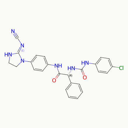 N#C/N=C1\NCCN1c1ccc(NC(=O)[C@H](NC(=O)Nc2ccc(Cl)cc2)c2ccccc2)cc1